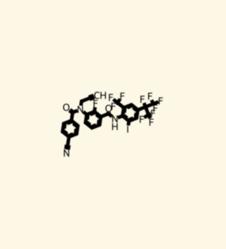 C#CCN(C(=O)c1ccc(C#N)cc1)c1cccc(C(=O)Nc2c(I)cc(C(F)(C(F)(F)F)C(F)(F)F)cc2C(F)(F)F)c1F